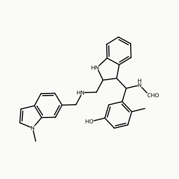 Cc1ccc(O)cc1C(NC=O)C1c2ccccc2NC1CNCc1ccc2ccn(C)c2c1